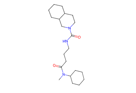 CN(C(=O)CCCNC(=O)N1CCC2CCCCC2C1)C1CCCCC1